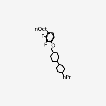 CCCCCCCCc1ccc(OCC2CCC(C3CCC(CCC)CC3)CC2)c(F)c1F